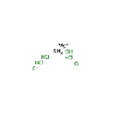 Cl.Cl.Cl.Cl.[Cl-].[Cl-].[Mg+2].[SiH4]